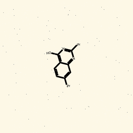 CC(C)c1ccc2c(O)nc(C(C)C)nc2c1